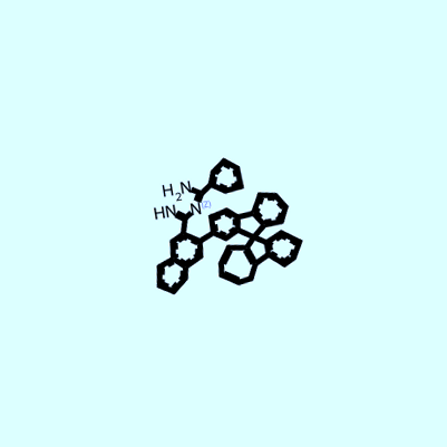 N=C(/N=C(\N)c1ccccc1)c1cc2ccccc2cc1-c1ccc2c(c1)C1(C3=C(CC=CC=C3)c3ccccc31)c1ccccc1-2